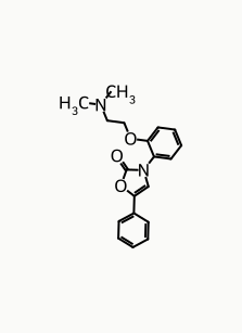 CN(C)CCOc1ccccc1-n1cc(-c2ccccc2)oc1=O